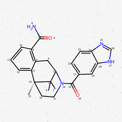 CC1(C)C2Cc3c(C(N)=O)cccc3[C@]1(C)CCN2C(=O)c1ccc2nc[nH]c2c1